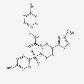 CCCc1ccc(S(=O)(=O)N2CCN(c3nc(C(=O)O)cs3)C[C@@H]2C(=O)NCc2ccc(C(C)C)cc2)cc1